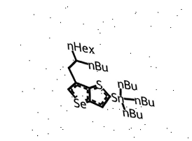 CCCCCCC(CCCC)Cc1c[se]c2c[c]([Sn]([CH2]CCC)([CH2]CCC)[CH2]CCC)sc12